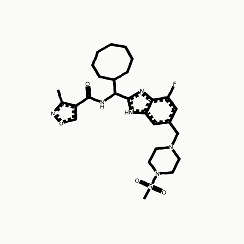 Cc1nocc1C(=O)NC(c1nc2c(F)cc(CN3CCN(S(C)(=O)=O)CC3)cc2[nH]1)C1CCCCCCC1